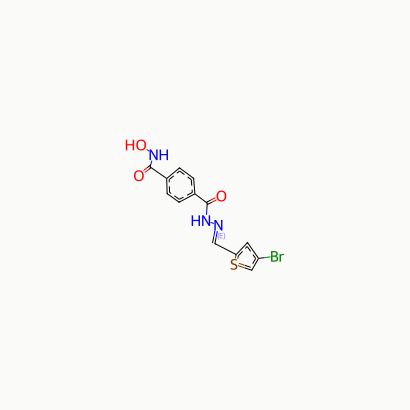 O=C(NO)c1ccc(C(=O)N/N=C/c2cc(Br)cs2)cc1